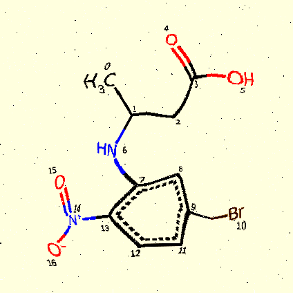 CC(CC(=O)O)Nc1cc(Br)ccc1[N+](=O)[O-]